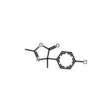 CC1=NC(C)(c2ccc(Cl)cc2)C(=O)O1